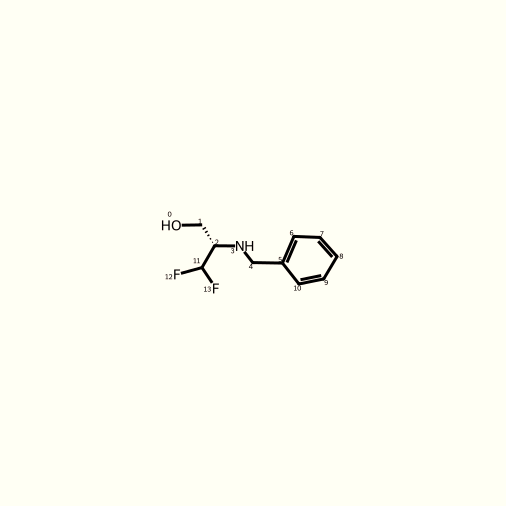 OC[C@H](NCc1ccccc1)C(F)F